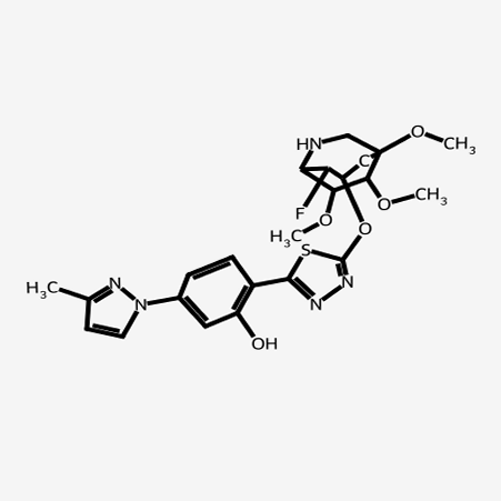 COC1C2NCC(OC)(CC(Oc3nnc(-c4ccc(-n5ccc(C)n5)cc4O)s3)C2F)C1OC